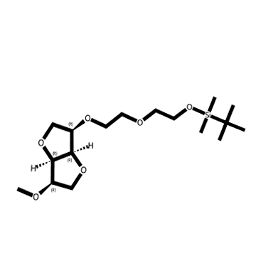 CO[C@@H]1CO[C@H]2[C@@H]1OC[C@H]2OCCOCCO[Si](C)(C)C(C)(C)C